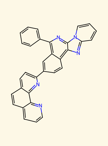 c1ccc(-c2nc3c(nc4ccccn43)c3ccc(-c4ccc5ccc6cccnc6c5n4)cc23)cc1